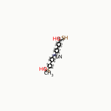 CC(O)Sc1ccc(-c2ccc(/C=C(\C#N)c3ccc(-c4ccc(C(O)CS)cc4)cc3)cc2)cc1